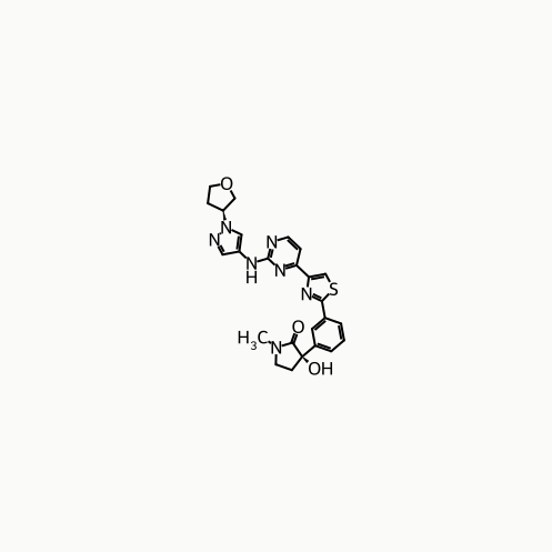 CN1CC[C@@](O)(c2cccc(-c3nc(-c4ccnc(Nc5cnn([C@H]6CCOC6)c5)n4)cs3)c2)C1=O